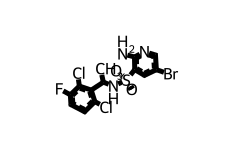 CC(NS(=O)(=O)c1cc(Br)cnc1N)c1c(Cl)ccc(F)c1Cl